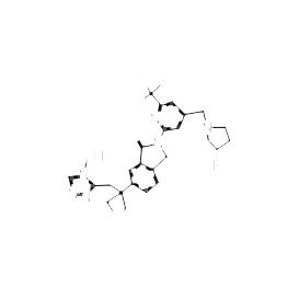 Cn1cnnc1CC1(c2ccc3c(c2)C(=O)N(c2cc(CN4CC[C@H](F)C4)cc(C(F)(F)F)n2)C3)COC1